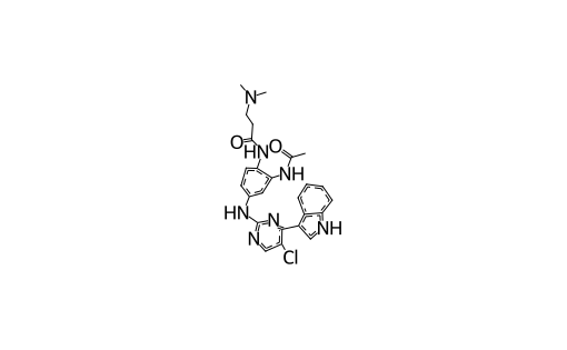 CC(=O)Nc1cc(Nc2ncc(Cl)c(-c3c[nH]c4ccccc34)n2)ccc1NC(=O)CCN(C)C